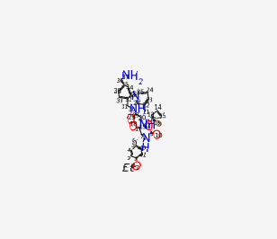 CCOc1ccc(C[C@@H](NC(=O)Oc2cccs2)C(=O)N[C@@H](Cc2cccnc2)C(=O)NCc2ccc(CN)cc2)cc1